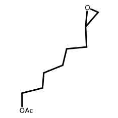 CC(=O)OCCCCCCC1CO1